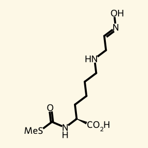 CSC(=O)N[C@@H](CCCCNCC=NO)C(=O)O